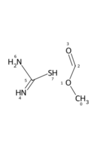 COC=O.N=C(N)S